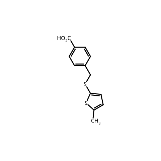 Cc1ccc(SCc2ccc(C(=O)O)cc2)s1